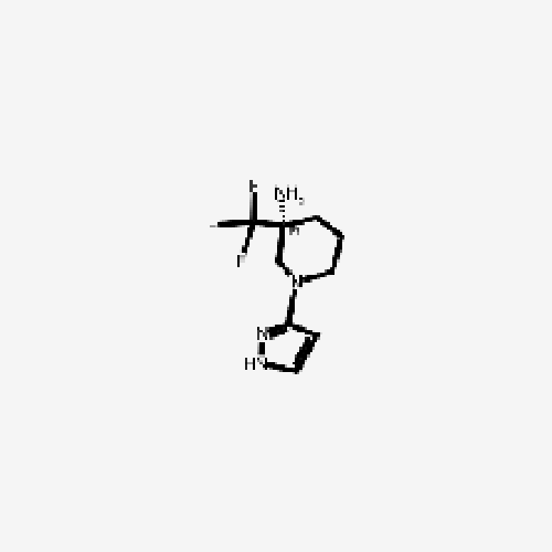 N[C@]1(C(F)(F)F)CCCN(c2cc[nH]n2)C1